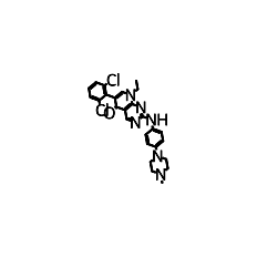 CCn1cc(-c2c(Cl)cccc2Cl)c(=O)c2cnc(Nc3ccc(N4CCN(C)CC4)cc3)nc21